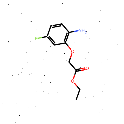 CCOC(=O)COc1cc(F)ccc1N